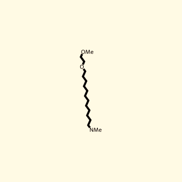 CNCCCCCCCCCCCCOCCOC